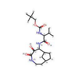 CC(C)C(NC(=O)OCC(C)(C)C)C(=O)NC1C(=O)C(=O)NCCC2CCC1C2